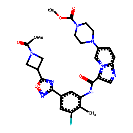 COC(=O)N1CC(c2nc(-c3cc(F)c(C)c(NC(=O)c4cnc5ccc(N6CCN(C(=O)OC(C)(C)C)CC6)cn45)c3)no2)C1